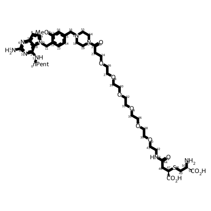 CCCCCNc1nc(N)nc2ccn(Cc3ccc(CN4CCN(C(=O)CCOCCOCCOCCOCCOCCOCCNC(=O)C[C@@H](SC[C@H](N)C(=O)O)C(=O)O)CC4)cc3OC)c12